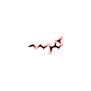 CCOCCOC(=O)C1COC(=O)O1